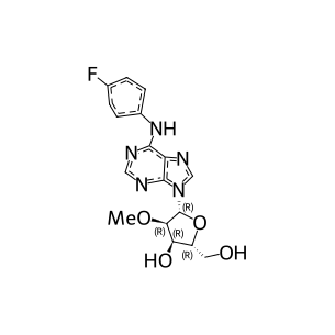 CO[C@@H]1[C@H](O)[C@@H](CO)O[C@H]1n1cnc2c(Nc3ccc(F)cc3)ncnc21